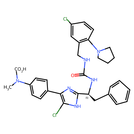 CN(C(=O)O)c1ccc(-c2nc([C@H](Cc3ccccc3)NC(=O)NCc3cc(Cl)ccc3N3CCCC3)[nH]c2Cl)cc1